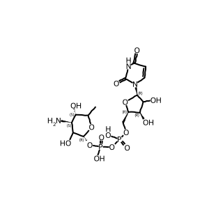 CC1O[C@H](OP(=O)(O)OP(=O)(O)OC[C@H]2O[C@@H](n3ccc(=O)[nH]c3=O)C(O)[C@H]2O)C(O)[C@@H](N)[C@@H]1O